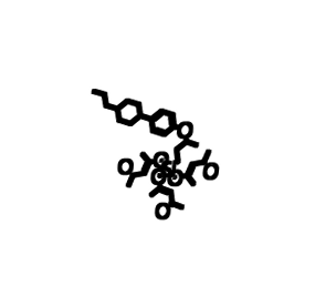 CCCC1CCC(c2ccc(OC(C)CC[Si](OC(C)=CC(C)=O)(OC(C)=CC(C)=O)OC(C)=CC(C)=O)cc2)CC1